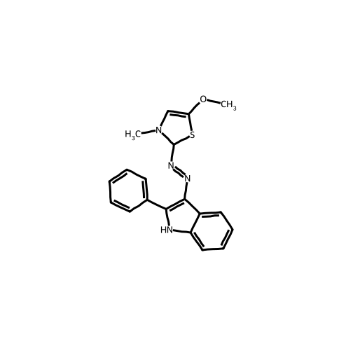 COC1=CN(C)C(N=Nc2c(-c3ccccc3)[nH]c3ccccc23)S1